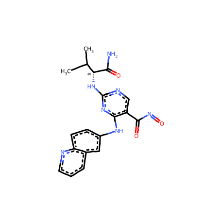 CC(C)[C@@H](Nc1ncc(C(=O)N=O)c(Nc2ccc3ncccc3c2)n1)C(N)=O